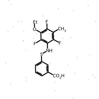 CCOc1c(F)c(C)c(F)c(NSc2cccc(C(=O)O)c2)c1F